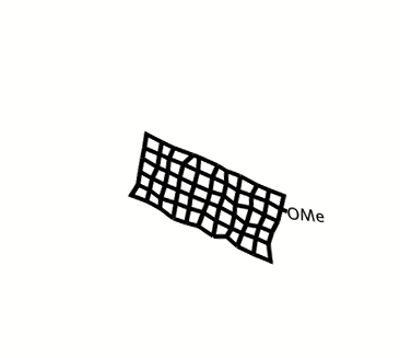 COC12CC3C4C5C6C7C8C9C%10C%11CC%12C%13C%14C%15CC%16C%17C%18C%19C%20C%21C%22C%23C%24CC%25C%26C1C1%27C32C42C53C64C75C86C97C%108C%12%11C%139C%14%10C%15%16C%17%11C%18%12C%19%13C%20%14C%21%15C%22%16C%23%17C%25%24C%261C%171C%272C32C%161C%151C42C52C63C74C98C%10%11C%124C%133C%1412